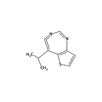 CC(C)C1=C=NC=Nc2ccsc21